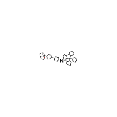 c1ccc(C2(c3ccccc3)c3ccccc3-c3ccc(Nc4ccc(-c5ccc(C67CC8CC(CC(C8)C6)C7)cc5)cc4)cc32)cc1